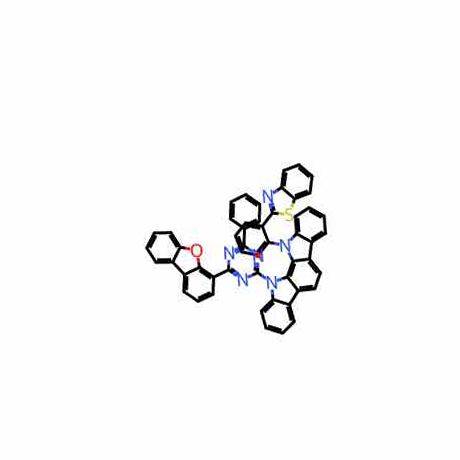 c1ccc(-c2nc(-c3cccc4c3oc3ccccc34)nc(-n3c4ccccc4c4ccc5c6ccccc6n(-c6ccccc6-c6nc7ccccc7s6)c5c43)n2)cc1